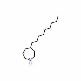 CCCCCCCCCC1CCCNCC1